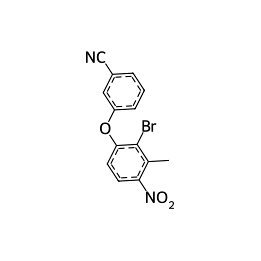 Cc1c([N+](=O)[O-])ccc(Oc2cccc(C#N)c2)c1Br